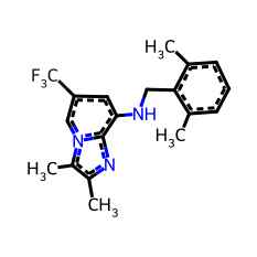 Cc1cccc(C)c1CNc1cc(C(F)(F)F)cn2c(C)c(C)nc12